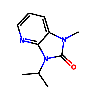 CC(C)n1c(=O)n(C)c2cccnc21